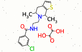 CC1Cc2ccsc2C(C)N1CCNC(=O)c1cccc(Cl)c1.O=C(O)C(=O)O